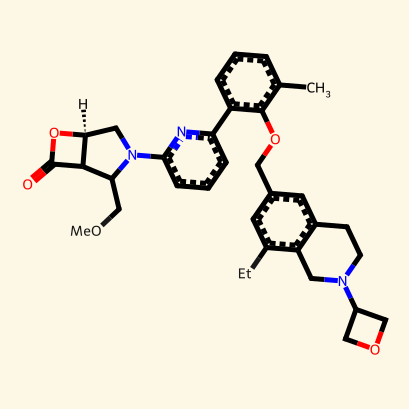 CCc1cc(COc2c(C)cccc2-c2cccc(N3C[C@@H]4OC(=O)C4C3COC)n2)cc2c1CN(C1COC1)CC2